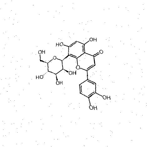 O=c1cc(-c2ccc(O)c(O)c2)oc2c([C@@H]3O[C@H](CO)[C@@H](O)[C@H](O)[C@@H]3O)c(O)cc(O)c12